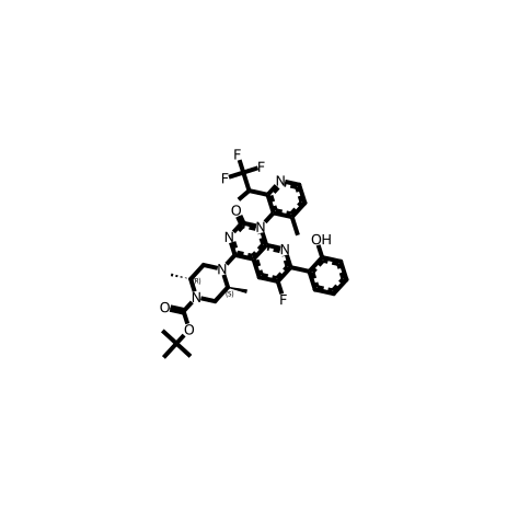 Cc1ccnc(C(C)C(F)(F)F)c1-n1c(=O)nc(N2C[C@@H](C)N(C(=O)OC(C)(C)C)C[C@@H]2C)c2cc(F)c(-c3ccccc3O)nc21